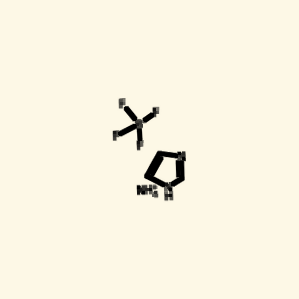 F[B-](F)(F)F.[NH4+].c1c[nH]cn1